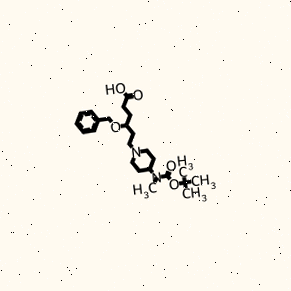 CN(C(=O)OC(C)(C)C)C1CCN(CCC(CCC(=O)O)OCc2ccccc2)CC1